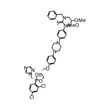 COC(CN(Cc1ccccc1)C(=S)Nc1ccc(N2CCN(c3ccc(OC[C@@H]4CO[C@@](Cn5cncn5)(c5ccc(Cl)cc5Cl)O4)cc3)CC2)cc1)OC